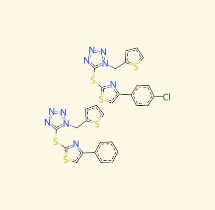 Clc1ccc(-c2csc(Sc3nnnn3Cc3cccs3)n2)cc1.c1ccc(-c2csc(Sc3nnnn3Cc3cccs3)n2)cc1